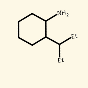 CCC(CC)C1CCCCC1N